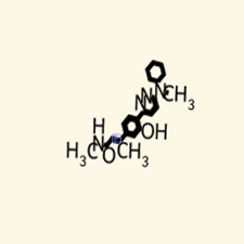 CNC(=O)/C=C(\C)c1ccc(-c2ccc(N(C)C3CCCCC3)nn2)c(O)c1